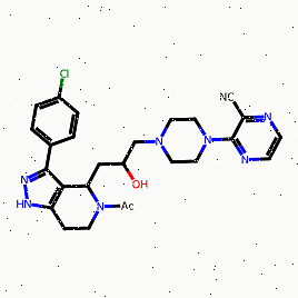 CC(=O)N1CCc2[nH]nc(-c3ccc(Cl)cc3)c2C1CC(O)CN1CCN(c2nccnc2C#N)CC1